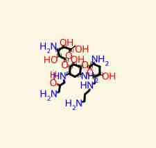 NCCCNC[C@H]1O[C@H](O[C@H]2[C@H](O)[C@@H](O[C@H]3O[C@H](CO)[C@@H](O)[C@H](N)[C@H]3O)[C@H](NCC(O)CN)C[C@@H]2N)[C@H](N)C[C@@H]1O